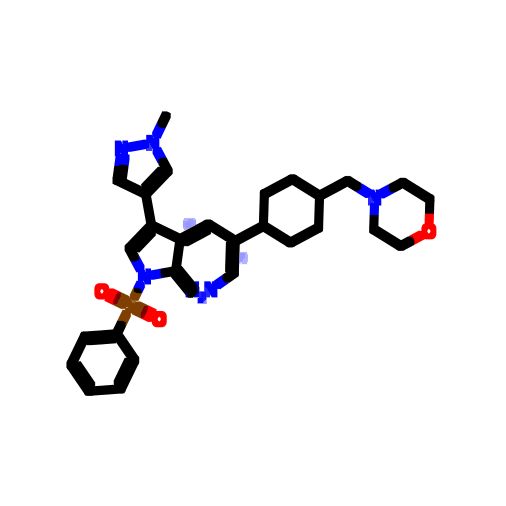 C=c1/c(=C\C(=C/N)C2CCC(CN3CCOCC3)CC2)c(-c2cnn(C)c2)cn1S(=O)(=O)c1ccccc1